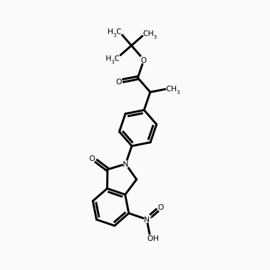 CC(C(=O)OC(C)(C)C)c1ccc(N2Cc3c(cccc3[N+](=O)O)C2=O)cc1